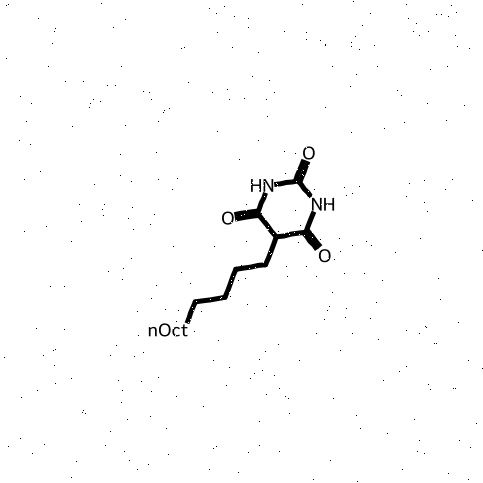 CCCCCCCCCCCCC1C(=O)NC(=O)NC1=O